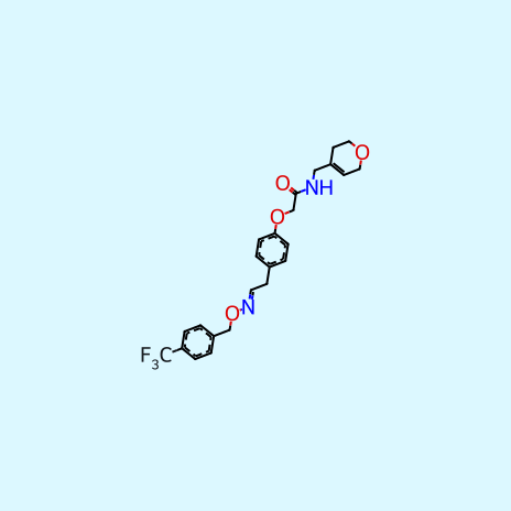 O=C(COc1ccc(CC=NOCc2ccc(C(F)(F)F)cc2)cc1)NCC1=CCOCC1